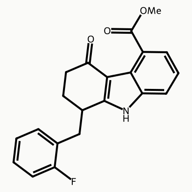 COC(=O)c1cccc2[nH]c3c(c12)C(=O)CCC3Cc1ccccc1F